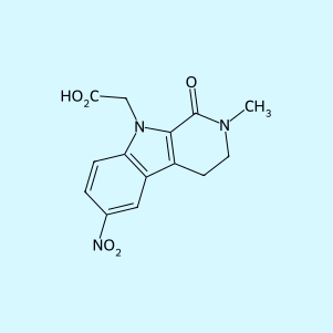 CN1CCc2c(n(CC(=O)O)c3ccc([N+](=O)[O-])cc23)C1=O